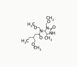 CCC(COC)CC(=O)N(COC)C1C(C)NC(=O)N1COC